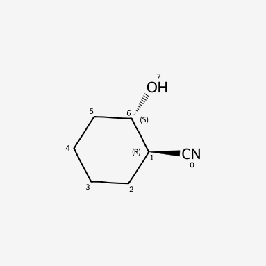 N#C[C@H]1CCCC[C@@H]1O